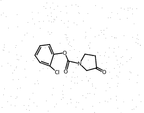 O=C1CCN(C(=O)Oc2ccccc2Cl)C1